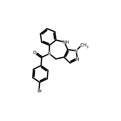 Cn1ncc2c1Nc1ccccc1N(C(=O)c1ccc(Br)cc1)C2